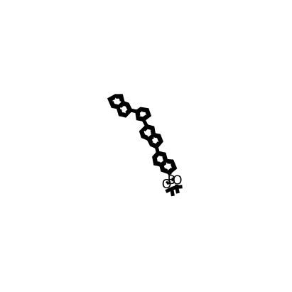 CC1(C)OB(c2ccc3cc(-c4ccc5cc(-c6cccc(-c7ccc8ccccc8c7)c6)ccc5c4)ccc3c2)OC1(C)C